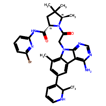 Cc1cc(C2=CC=CNC2C(F)(F)F)cc2c3c(N)ncnc3n(CC(=O)N3[C@H](C(=O)Nc4cccc(Br)n4)CC(C)(C)[C@H]3C)c12